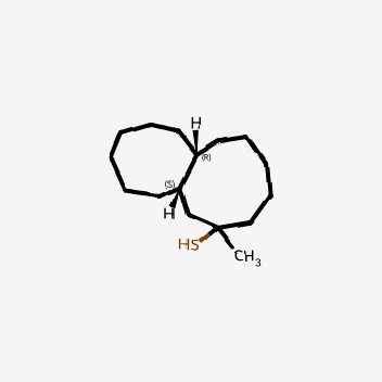 CC1(S)CCCCC[C@H]2CCCCCC[C@H]2C1